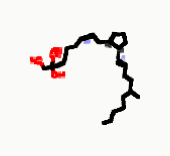 CCCCCC(C)CC/C=C/[C@H]1CCC[C@@H]1C/C=C\CCCC(O)(O)CO